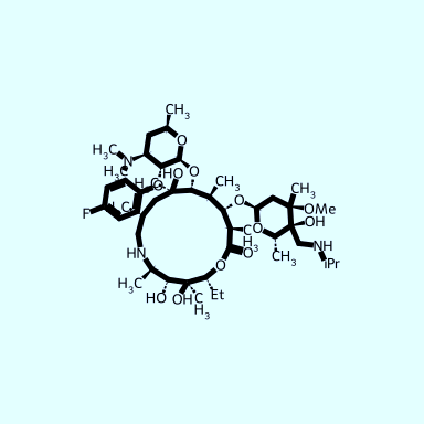 CC[C@H]1OC(=O)[C@H](C)[C@@H](O[C@H]2C[C@@](C)(OC)[C@](O)(CNC(C)C)[C@H](C)O2)[C@H](C)[C@@H](O[C@@H]2O[C@H](C)C[C@H](N(C)C)[C@H]2Oc2ccc(F)cc2)[C@](C)(O)C[C@@H](C)CN[C@H](C)[C@@H](O)[C@]1(C)O